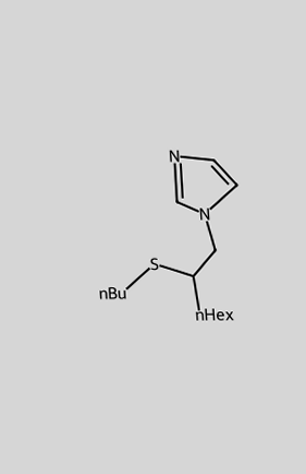 CCCCCCC(Cn1ccnc1)SCCCC